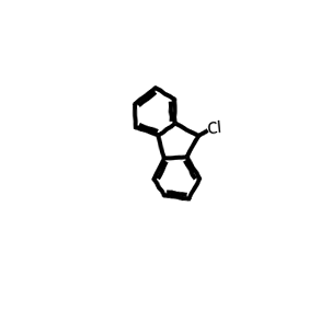 ClC1c2ccccc2-c2ccccc21